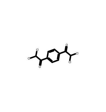 O=C(c1ccc(C(=O)C(Cl)Cl)cc1)C(Cl)Cl